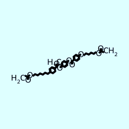 C=CC(=O)OCCCCCCCC1=CC=C(C(=O)Oc2ccc(OC(=O)c3ccc(OCCCCCCOC(=O)C=C)cc3)cc2C)CC1